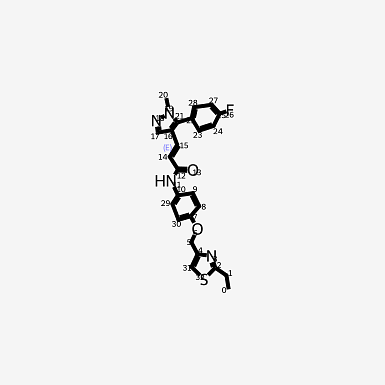 CCc1nc(COc2ccc(NC(=O)/C=C/c3cnn(C)c3-c3ccc(F)cc3)cc2)cs1